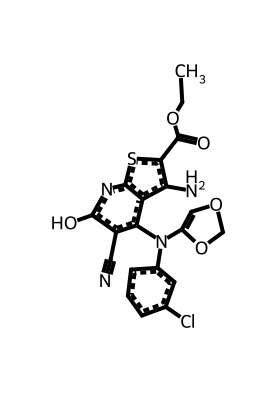 CCOC(=O)c1sc2nc(O)c(C#N)c(N(C3=COCO3)c3cccc(Cl)c3)c2c1N